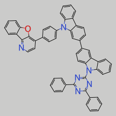 c1ccc(-c2nc(-c3ccccc3)nc(-n3c4ccccc4c4cc(-c5ccc6c7ccccc7n(-c7ccc(-c8ccnc9c8oc8ccccc89)cc7)c6c5)ccc43)n2)cc1